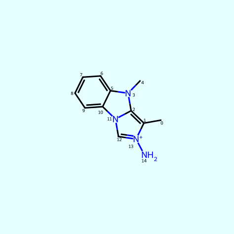 Cc1c2n(C)c3ccccc3n2c[n+]1N